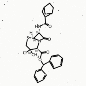 C[C@@]1(Cl)CS[C@H]2[C@H](NC(=O)C3CC4CCC3C4)C(=O)N2[C@H]1C(=O)OC(c1ccccc1)c1ccccc1